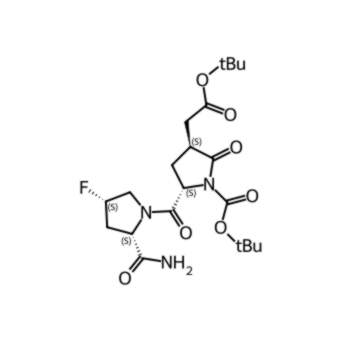 CC(C)(C)OC(=O)C[C@@H]1C[C@@H](C(=O)N2C[C@@H](F)C[C@H]2C(N)=O)N(C(=O)OC(C)(C)C)C1=O